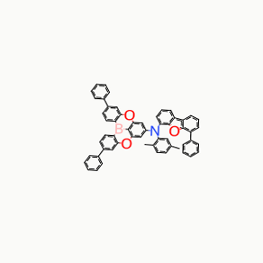 Cc1ccc(C)c(N(c2cc3c4c(c2)Oc2cc(-c5ccccc5)ccc2B4c2ccc(-c4ccccc4)cc2O3)c2cccc3c2oc2c(-c4ccccc4)cccc23)c1